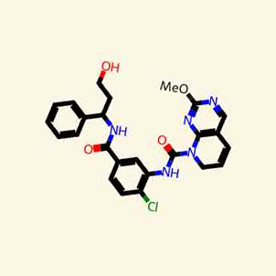 COc1ncc2c(n1)N(C(=O)Nc1cc(C(=O)NC(CCO)c3ccccc3)ccc1Cl)CC=C2